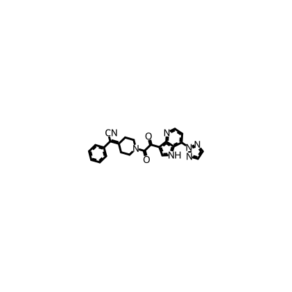 N#CC(=C1CCN(C(=O)C(=O)c2c[nH]c3c(-n4nccn4)ccnc23)CC1)c1ccccc1